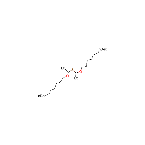 CCCCCCCCCCCCCCCCOC(CC)SC(CC)OCCCCCCCCCCCCCCCC